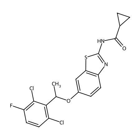 CC(Oc1ccc2nc(NC(=O)C3CC3)sc2c1)c1c(Cl)ccc(F)c1Cl